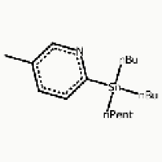 CCCC[CH2][Sn]([CH2]CCC)([CH2]CCC)[c]1ccc(C)cn1